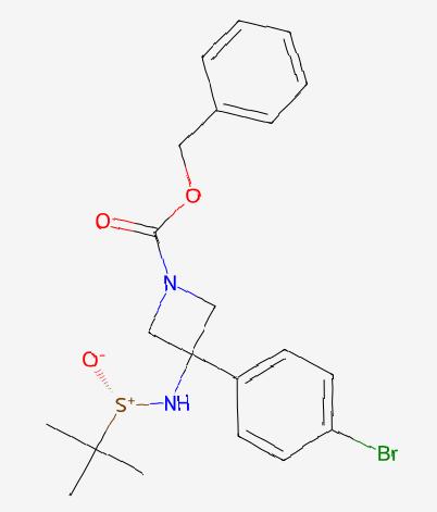 CC(C)(C)[S@+]([O-])NC1(c2ccc(Br)cc2)CN(C(=O)OCc2ccccc2)C1